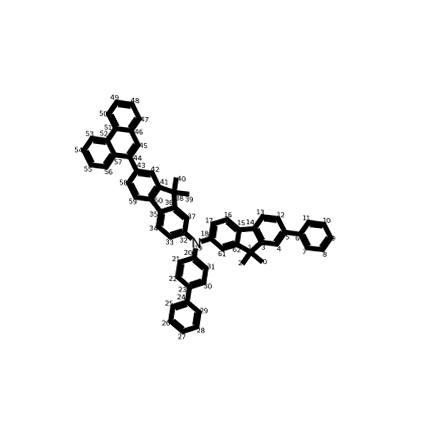 CC1(C)c2cc(-c3ccccc3)ccc2-c2ccc(N(c3ccc(-c4ccccc4)cc3)c3ccc4c(c3)C(C)(C)c3cc(-c5cc6ccccc6c6ccccc56)ccc3-4)cc21